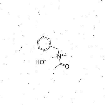 CC(=O)[N+](C)(C)Cc1ccccc1.[OH-]